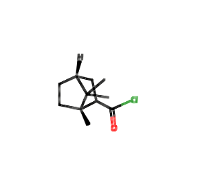 CC1(C)[C@@H]2CC[C@@]1(C)C(C(=O)Cl)C2